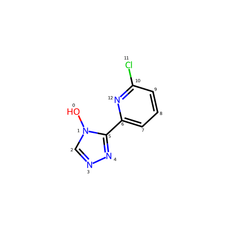 On1cnnc1-c1cccc(Cl)n1